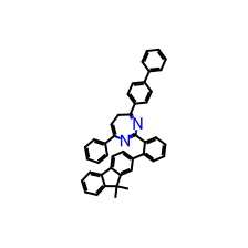 CC1(C)c2ccccc2-c2ccc(-c3ccccc3C3=NC(c4ccccc4)=CCC(c4ccc(-c5ccccc5)cc4)=N3)cc21